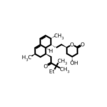 CCC(C)(C)C(=O)C[C@H]1C[C@@H](C)C=C2C=C[C@H](C)[C@H](CC[C@@H]3C[C@@H](O)CC(=O)O3)[C@H]21